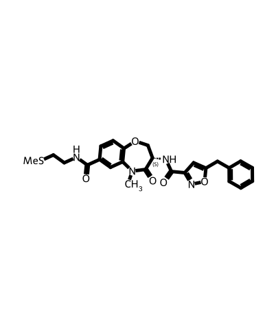 CSCCNC(=O)c1ccc2c(c1)N(C)C(=O)[C@@H](NC(=O)c1cc(Cc3ccccc3)on1)CO2